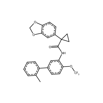 Cc1ccccc1-c1ccc(OC(F)(F)F)c(NC(=O)C2(c3ccc4c(c3)OCO4)CC2)c1